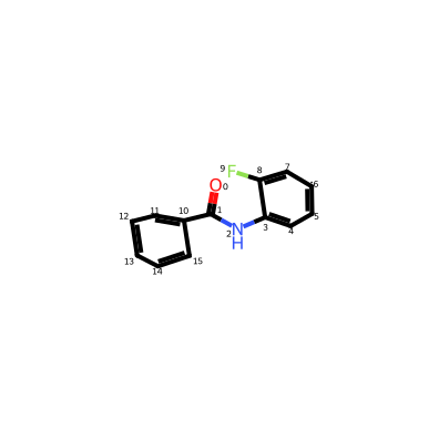 O=C(Nc1cc[c]cc1F)c1ccccc1